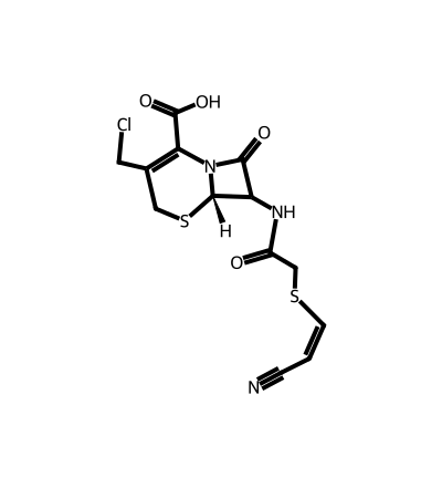 N#C/C=C\SCC(=O)NC1C(=O)N2C(C(=O)O)=C(CCl)CS[C@@H]12